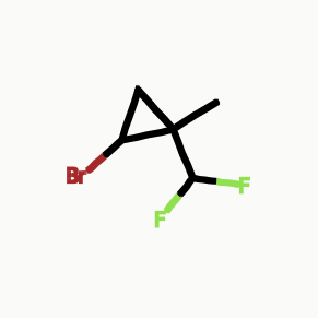 CC1(C(F)F)CC1Br